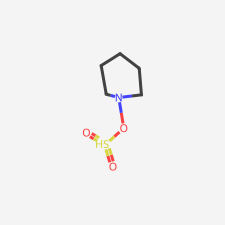 O=[SH](=O)ON1CCCCC1